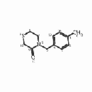 Cc1ccc(CN2CCSCC2=O)cc1